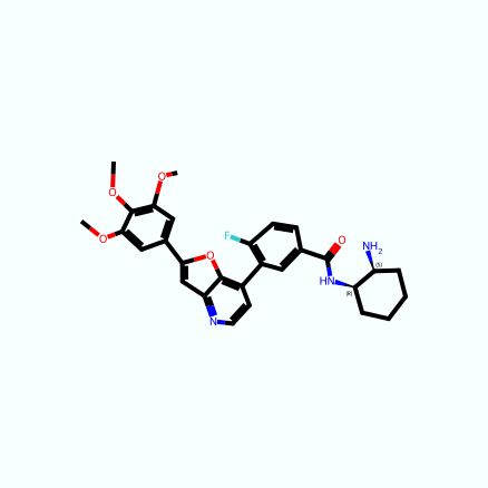 COc1cc(-c2cc3nccc(-c4cc(C(=O)N[C@@H]5CCCC[C@@H]5N)ccc4F)c3o2)cc(OC)c1OC